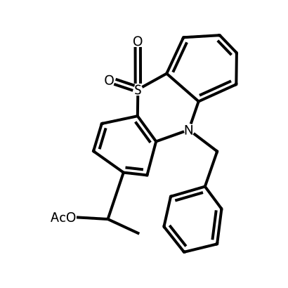 CC(=O)OC(C)c1ccc2c(c1)N(Cc1ccccc1)c1ccccc1S2(=O)=O